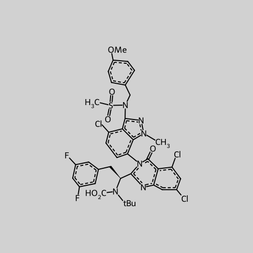 COc1ccc(CN(c2nn(C)c3c(-n4c([C@H](Cc5cc(F)cc(F)c5)N(C(=O)O)C(C)(C)C)nc5cc(Cl)cc(Cl)c5c4=O)ccc(Cl)c23)S(C)(=O)=O)cc1